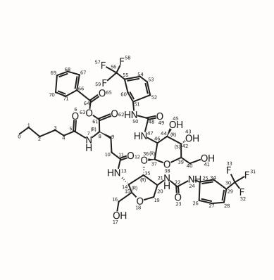 CCCCCC(=O)N[C@H](CCC(=O)N[C@H]1C(CO)OCC(NC(=O)Nc2cccc(C(F)(F)F)c2)[C@H]1O[C@@H]1OC(CO)[C@@H](O)[C@H](O)C1NC(=O)Nc1cccc(C(F)(F)F)c1)C(=O)OC(=O)c1ccccc1